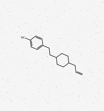 C=CCC1CCC(CCc2ccc(C#N)cc2)CC1